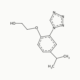 CC(C)c1ccc(OCCO)c(-n2cnnn2)c1